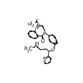 CNCCC(Oc1cccc(N2CCN(C)c3ccccc3C2=O)c1)c1cccs1